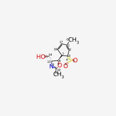 CC1=CC(=S(=O)=O)C([C@H]2OC(C)=N[C@@H]2CO)C=C1